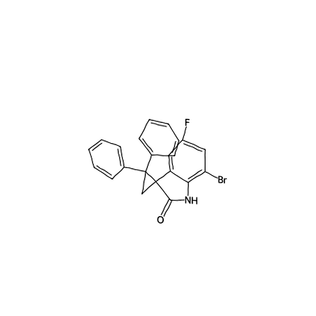 O=C1Nc2c(Br)cc(F)cc2C12CC2(c1ccccc1)c1ccccc1